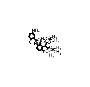 CC(C)(C)OC(=O)C(C(=O)OC(C)(C)C)c1c(F)ccc(NC(=O)c2cc(N)ccc2Cl)c1F